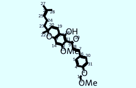 COCOc1ccc(C=CC(=O)c2c(OC)cc3c(c2O)C=CC(C)(CCC=C(C)C)O3)cc1